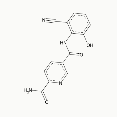 N#Cc1cccc(O)c1NC(=O)c1ccc(C(N)=O)nc1